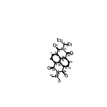 CCC(CC)N1C(=O)c2ccc3c4c(ccc(c24)C1=O)C(=O)N(N(C)C)C3=O